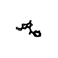 CC1ON(C(C)c2ccccc2)C2CC(O)OC12